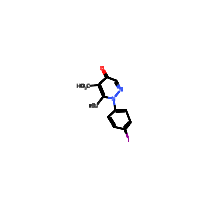 CCCCc1c(C(=O)O)c(=O)cnn1-c1ccc(I)cc1